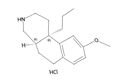 CCC[C@@]12CCNC[C@@H]1CCc1ccc(OC)cc12.Cl